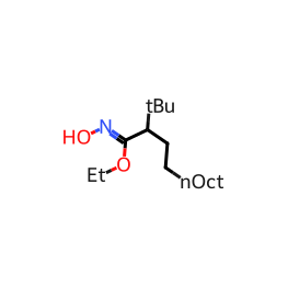 CCCCCCCCCCC(C(=NO)OCC)C(C)(C)C